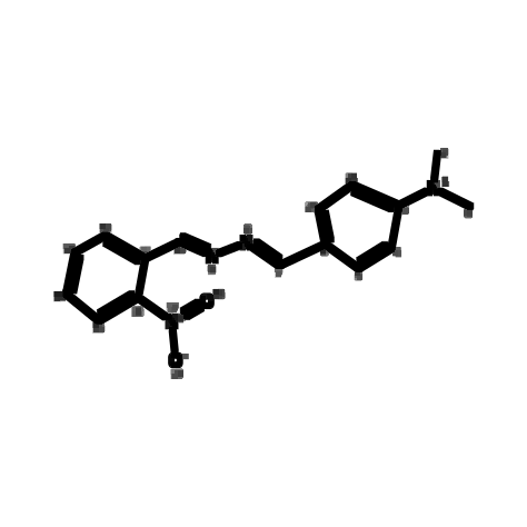 CN(C)c1ccc(/C=N/N=C/c2ccccc2[N+](=O)[O-])cc1